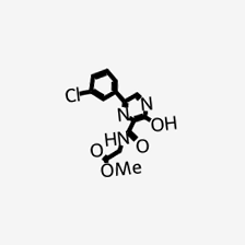 COC(=O)CNC(=O)c1nc(-c2cccc(Cl)c2)cnc1O